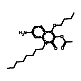 CCCCCCCCn1c(=O)c(OC(C)=O)c(OCCCC)c2ccc(N)cc21